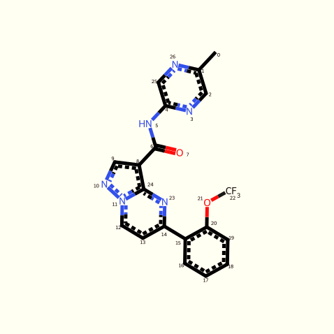 Cc1cnc(NC(=O)c2cnn3ccc(-c4ccccc4OC(F)(F)F)nc23)cn1